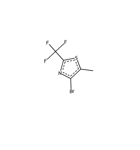 Cc1sc(C(F)(F)F)nc1Br